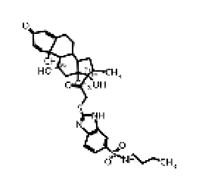 CCCCNS(=O)(=O)c1ccc2nc(SCC(=O)[C@@]3(O)[C@H](C)CC4C5CCC6=CC(=O)C=CC6(C)C5[C@@H](O)CC43C)[nH]c2c1